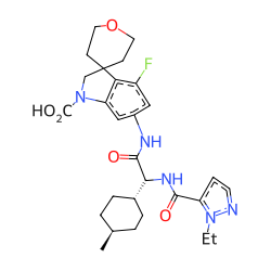 CCn1nccc1C(=O)NC(C(=O)Nc1cc(F)c2c(c1)N(C(=O)O)CC21CCOCC1)[C@H]1CC[C@H](C)CC1